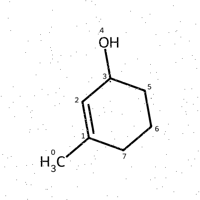 CC1=C[C](O)CCC1